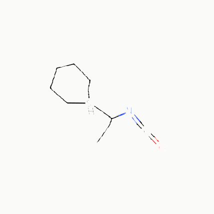 CC(N=C=O)[SiH]1CCCCC1